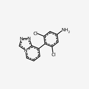 Nc1cc(Cl)c(-c2cccn3cnnc23)c(Cl)c1